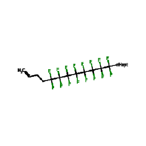 C=CCCC(F)(F)C(F)(F)C(F)(F)C(F)(F)C(F)(F)C(F)(F)C(F)(F)C(F)(F)CCCCCCC